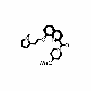 COC1CCN(C(=O)c2ccc3cccc(OCCC4CCCN4C)c3n2)CC1